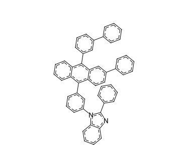 c1ccc(-c2cccc(-c3c4ccccc4c(-c4cccc(-n5c(-c6ccccc6)nc6ccccc65)c4)c4ccc(-c5ccccc5)cc34)c2)cc1